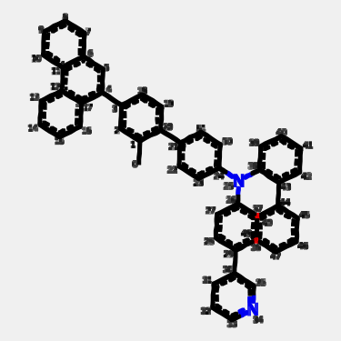 Cc1cc(-c2cc3ccccc3c3ccccc23)ccc1-c1ccc(N(c2ccc(-c3cccnc3)cc2)c2ccccc2-c2ccccc2)cc1